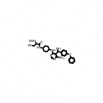 CNC(CC(C)C)C(=O)NC1CCC(Nc2ncnc(N)c2C(=N)c2ccc(Oc3ccccc3)cc2)CC1